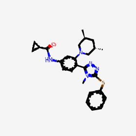 C[C@H]1C[C@H](C)CN(c2cc(NC(=O)C3CC3)ccc2-c2nnc(Sc3ccccc3)n2C)C1